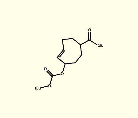 CC(C)(C)OC(=O)OC1/C=C/CCC(C(=O)C(C)(C)C)CC1